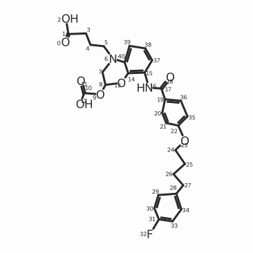 O=C(O)CCCN1CC(OC(=O)O)Oc2c(NC(=O)c3ccc(OCCCCc4ccc(F)cc4)cc3)cccc21